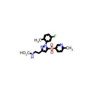 Cc1ccc(S(=O)(=O)c2cc(CCNC(=O)O)nn2-c2cc(F)ccc2C)cn1